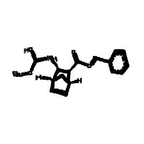 CC(C)(C)OC(O)N[C@H]1[C@@H](C(=O)OCc2ccccc2)[C@@H]2C=C[C@H]1C2